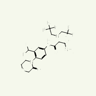 NC(=O)[C@H](C(=O)Nc1ccc(N2CCOCC2=O)c(C(F)F)c1)N(CC(F)(F)F)CC(F)(F)F